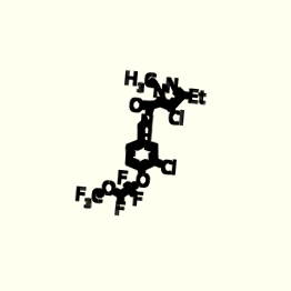 CCc1nn(C)c(C(=O)NCc2ccc(OC(F)(F)C(F)OC(F)(F)F)c(Cl)c2)c1Cl